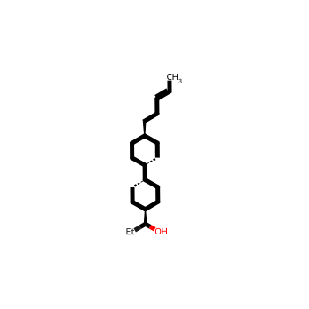 CC=CCC[C@H]1CC[C@H]([C@H]2CC[C@H](C(O)CC)CC2)CC1